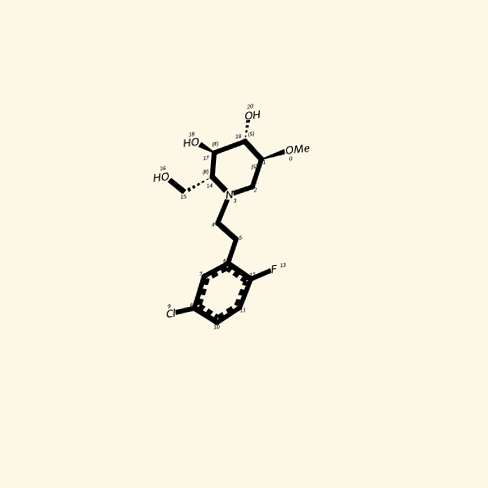 CO[C@H]1CN(CCc2cc(Cl)ccc2F)[C@H](CO)[C@@H](O)[C@@H]1O